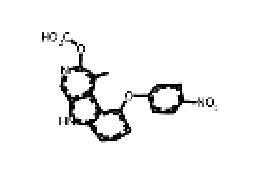 Cc1c(OC(=O)O)ncc2[nH]c3cccc(Oc4ccc([N+](=O)[O-])cc4)c3c12